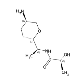 C[C@H](O)C(=O)N[C@@H](C)[C@@H]1CC[C@@H](N)CO1